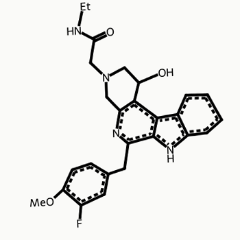 CCNC(=O)CN1Cc2nc(Cc3ccc(OC)c(F)c3)c3[nH]c4ccccc4c3c2C(O)C1